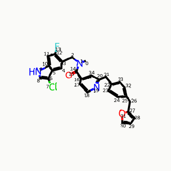 CN(Cc1cc2c(Cl)c[nH]c2cc1F)C(=O)c1ccnc(Cc2ccc(Cc3ccco3)cc2)c1